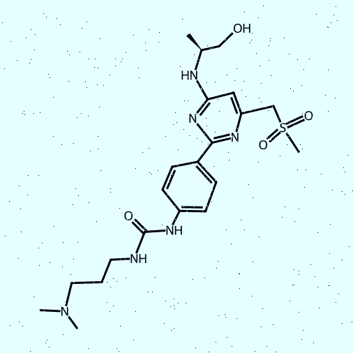 C[C@@H](CO)Nc1cc(CS(C)(=O)=O)nc(-c2ccc(NC(=O)NCCCN(C)C)cc2)n1